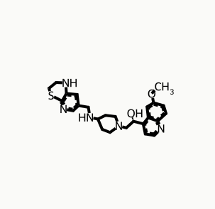 COc1ccc2nccc([C@@H](O)CN3CCC(NCc4cnc5c(c4)NCCS5)CC3)c2c1